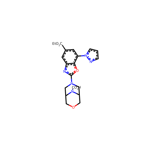 CCOC(=O)c1cc(-n2cccn2)c2oc(N3CC4COCC(C3)N4C(=O)O)nc2c1